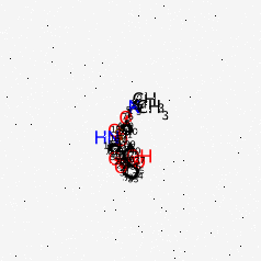 CCN(CC)CCOc1cccc(S(=O)(=O)Nc2cccc(C(c3c(O)c4c(oc3=O)CCCCCC4=O)C3CC3)c2)c1